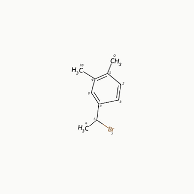 Cc1ccc(C(C)Br)cc1C